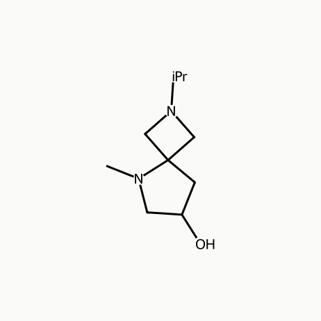 CC(C)N1CC2(CC(O)CN2C)C1